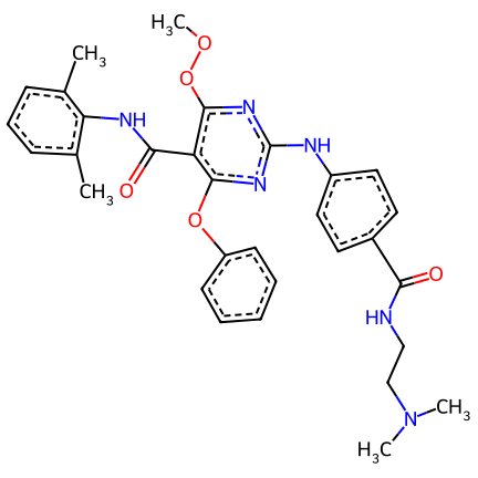 COOc1nc(Nc2ccc(C(=O)NCCN(C)C)cc2)nc(Oc2ccccc2)c1C(=O)Nc1c(C)cccc1C